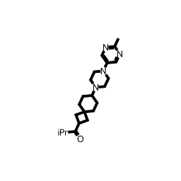 Cc1ncc(N2CCN(C3CCC4(CC3)CC(C(=O)C(C)C)C4)CC2)cn1